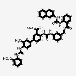 COC(=O)c1cc(-c2ccc(NC(=O)Nc3ccccc3C(=O)O)c(C)c2)ccc1NC(=O)Nc1cccc(COC(=O)c2ccccc2NC(=O)Nc2ccc3ccccc3c2)c1